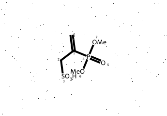 C=C(CS(=O)(=O)O)P(=O)(OC)OC